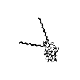 CCCCCCCCCCCCNC(=O)[C@H](CS[C@@H]1C(OC(C)=O)C(OC(C)=O)[C@@H](OC(C)=O)C2COC(=O)N21)NC(=O)CCCCCCCCCCC